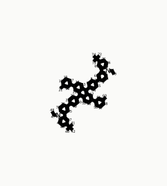 CCn1c2ccc(-c3ccc(-c4c5ccc(-c6cccc(C)c6)cc5c(-c5ccc(-c6ccc7c(c6)c6cc(C(C)(C)C)ccc6n7CC)cc5)c5ccc(-c6cccc(C)c6)cc45)cc3)cc2c2cc(C(C)(C)C)ccc21